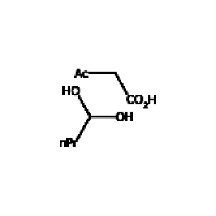 CC(=O)CC(=O)O.CCCC(O)O